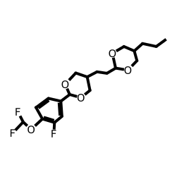 CCCC1COC(CCC2COC(c3ccc(OC(F)F)c(F)c3)OC2)OC1